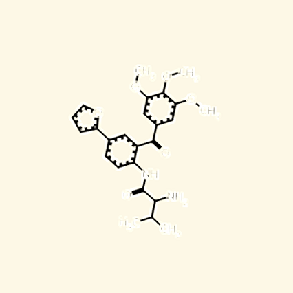 COc1cc(C(=O)c2cc(-c3ccco3)ccc2NC(=O)C(N)C(C)C)cc(OC)c1OC